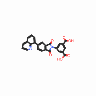 O=C(O)c1cc(C(=O)O)cc(N2C(=O)c3ccc(-c4cccc5cccnc45)cc3C2=O)c1